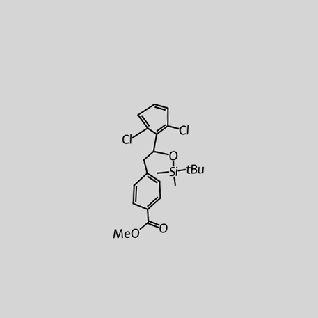 COC(=O)c1ccc(CC(O[Si](C)(C)C(C)(C)C)c2c(Cl)cccc2Cl)cc1